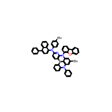 CC(C)(C)c1ccc(N(c2ccc3c(n2)N(c2cccc4c2oc2ccccc24)c2cc(C(C)(C)C)cc4c2B3c2ccccc2N4c2ccccc2)c2ccc(-c3ccccc3)c3ccccc23)cc1